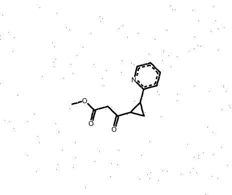 COC(=O)CC(=O)C1CC1c1ccccn1